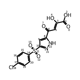 O=C(O)C(O)=CC(=O)c1cc(S(=O)(=O)c2ccc(Cl)cc2)n[nH]1